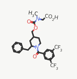 CN(CC(=O)O)C(=O)OCC1CCN(C(=O)c2cc(C(F)(F)F)cc(C(F)(F)F)c2)C(Cc2ccccc2)C1